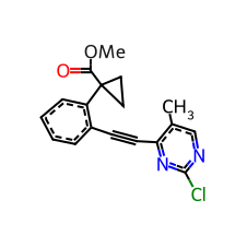 COC(=O)C1(c2ccccc2C#Cc2nc(Cl)ncc2C)CC1